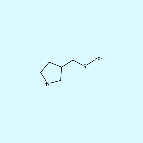 CCCSCC1CC[N]C1